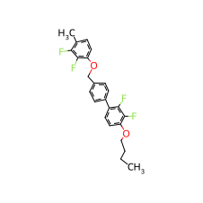 CCCCOc1ccc(-c2ccc(COc3ccc(C)c(F)c3F)cc2)c(F)c1F